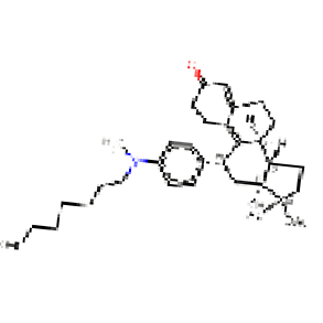 CC(=O)O[C@]1(C(C)=O)CC[C@H]2[C@@H]3CCC4=CC(=O)CCC4=C3[C@@H](c3ccc(N(C)CCCCCCC=O)cc3)C[C@@]21C